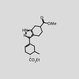 CCOC(=O)[C@@H]1CC=C(c2n[nH]c3c2CCC(C(=O)OC)C3)CC1C